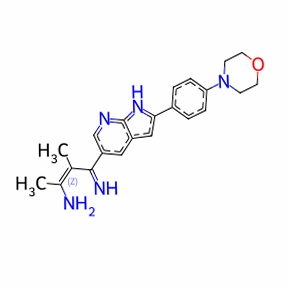 C/C(N)=C(\C)C(=N)c1cnc2[nH]c(-c3ccc(N4CCOCC4)cc3)cc2c1